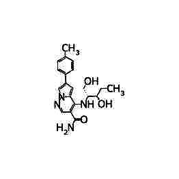 CC[C@@H](O)[C@@H](CO)Nc1c(C(N)=O)cnn2cc(-c3ccc(C)cc3)cc12